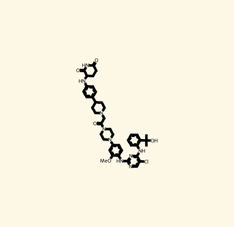 COc1cc(N2CCN(C(=O)CN3CCC(c4ccc(NC5CCC(=O)NC5=O)cc4)CC3)CC2)ccc1Nc1ncc(Cl)c(Nc2ccccc2C(C)(C)O)n1